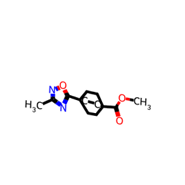 COC(=O)C12CCC(c3nc(C)no3)(CC1)CC2